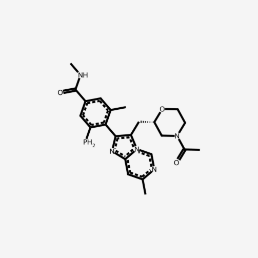 CNC(=O)c1cc(C)c(-c2nc3cc(C)ncn3c2C[C@H]2CN(C(C)=O)CCO2)c(P)c1